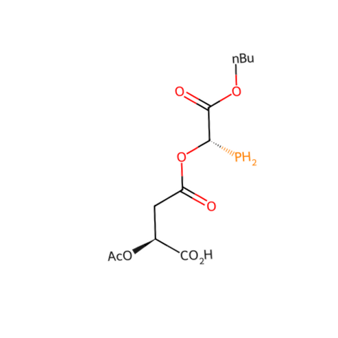 CCCCOC(=O)[C@H](P)OC(=O)C[C@H](OC(C)=O)C(=O)O